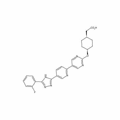 O=C(O)C[C@H]1CC[C@@H](Oc2ncc(-c3ccc(-c4nnc(-c5ccccc5F)[nH]4)cn3)cn2)CC1